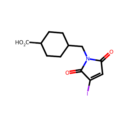 O=C(O)C1CCC(CN2C(=O)C=C(I)C2=O)CC1